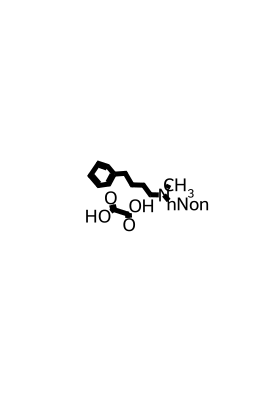 CCCCCCCCCN(C)CCCCc1ccccc1.O=C(O)C(=O)O